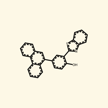 Oc1ccc(-c2cc3ccccc3c3ccccc23)cc1-c1nc2ccccc2s1